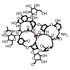 CC(=O)NC1C(OC2c3ccc(c(Cl)c3)Oc3cc4cc(c3OC3OC(C=O)C(O)C(O)C3C)Oc3ccc(cc3Cl)C[C@@H]3NC(=O)[C@@H](N)c5ccc(O)c(c5)Oc5cc(O)cc(c5)[C@@H](NC3=O)C(=O)N[C@@H]4C(=O)NC3C(=O)NC2C(=O)NC(C(=O)O)c2cc(O)cc(OC4OC(CO)C(O)C(O)C4O)c2-c2cc3ccc2O)OC(CO)C(O)C1O